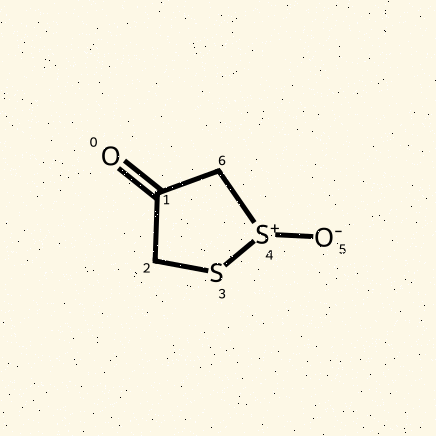 O=C1CS[S+]([O-])C1